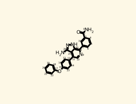 NC(=O)c1cccc(-c2ncc(-c3ccc(Oc4ccccc4)cc3)c3c(N)n[nH]c23)c1